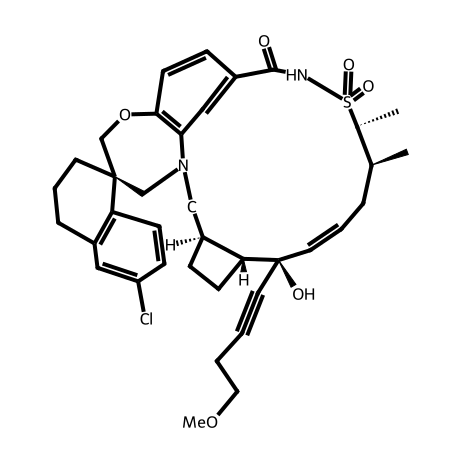 COCCC#C[C@@]1(O)/C=C/C[C@H](C)[C@@H](C)S(=O)(=O)NC(=O)c2ccc3c(c2)N(C[C@@H]2CC[C@H]21)C[C@@]1(CCCc2cc(Cl)ccc21)CO3